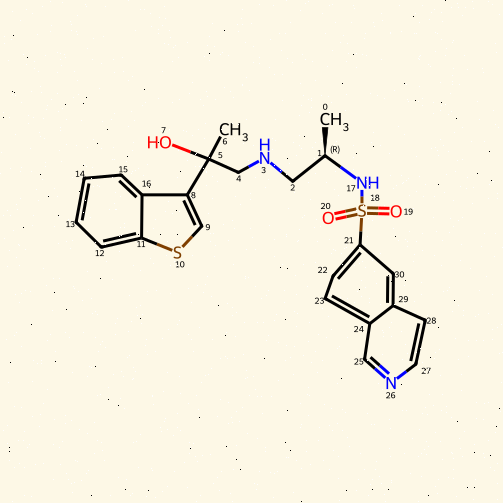 C[C@H](CNCC(C)(O)c1csc2ccccc12)NS(=O)(=O)c1ccc2cnccc2c1